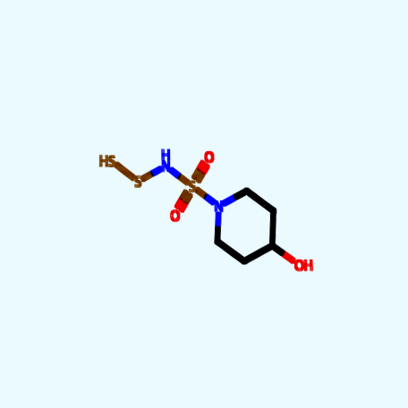 O=S(=O)(NSS)N1CCC(O)CC1